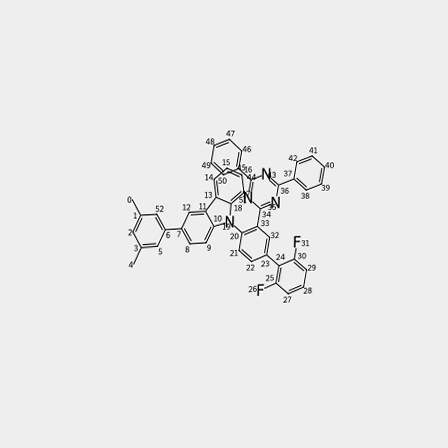 Cc1cc(C)cc(-c2ccc3c(c2)c2ccccc2n3-c2ccc(-c3c(F)cccc3F)cc2-c2nc(-c3ccccc3)nc(-c3ccccc3)n2)c1